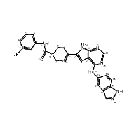 O=C(Nc1cccc(F)c1)N1CC=C(c2cc3c(Nc4ccc5[nH]ncc5c4)ncnc3[nH]2)CC1